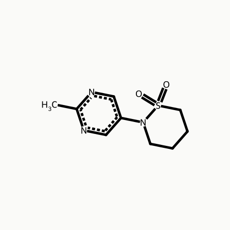 Cc1ncc(N2CCCCS2(=O)=O)cn1